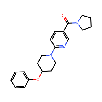 O=C(c1ccc(N2CCC(Oc3ccccc3)CC2)nc1)N1CCCC1